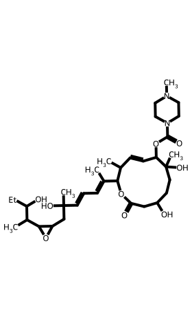 CCC(O)C(C)C1OC1CC(C)(O)/C=C/C=C(\C)C1OC(=O)CC(O)CCC(C)(O)C(OC(=O)N2CCN(C)CC2)/C=C/C1C